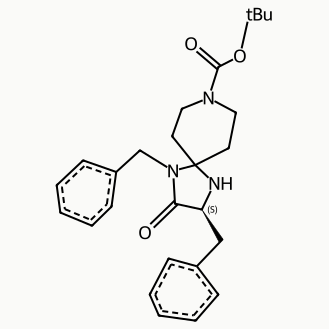 CC(C)(C)OC(=O)N1CCC2(CC1)N[C@@H](Cc1ccccc1)C(=O)N2Cc1ccccc1